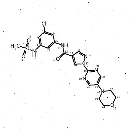 CS(=O)(=O)Nc1cc(Cl)cc(NC(=O)c2cnn(-c3ncc(N4CCOCC4)cn3)c2)c1